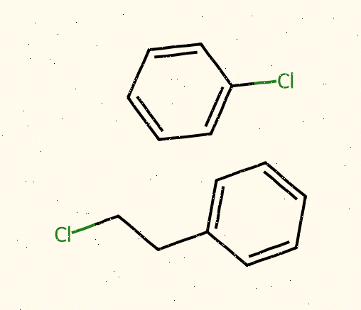 ClCCc1ccccc1.Clc1ccccc1